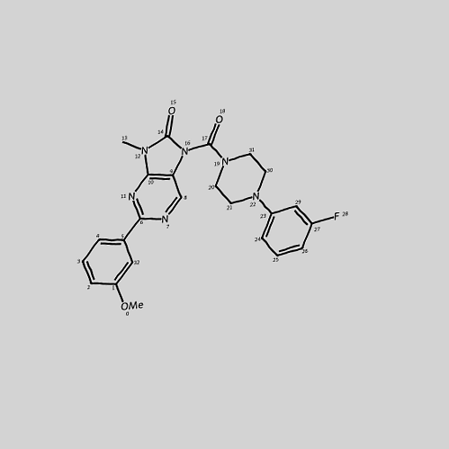 COc1cccc(-c2ncc3c(n2)n(C)c(=O)n3C(=O)N2CCN(c3cccc(F)c3)CC2)c1